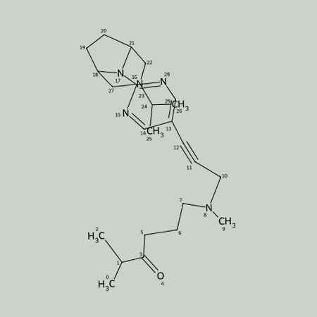 CC(C)C(=O)CCCN(C)CC#Cc1cnc(N2C3CCC2CN(C(C)C)C3)nc1